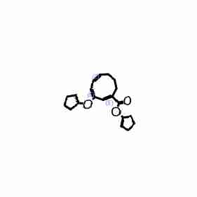 O=C(OC1CCCC1)/C1=C/C(OC2CCCC2)=C\C=C/CCC1